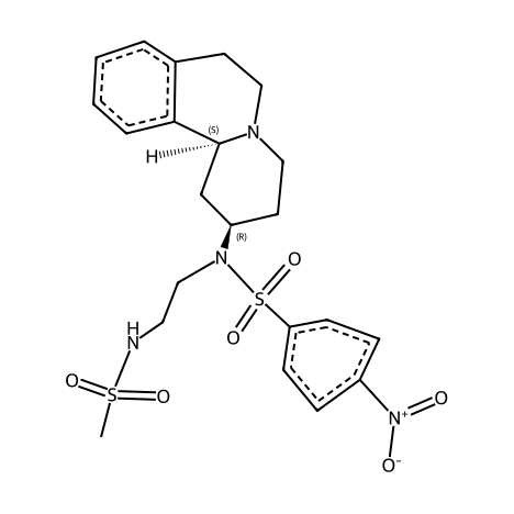 CS(=O)(=O)NCCN([C@@H]1CCN2CCc3ccccc3[C@@H]2C1)S(=O)(=O)c1ccc([N+](=O)[O-])cc1